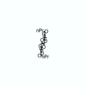 CCCC(=O)OCC(C)(C)C1OCC2(CO1)COC(C(C)(C)COC(=O)CCC)OC2